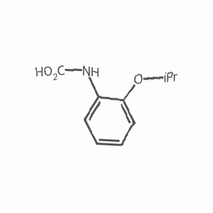 CC(C)Oc1ccccc1NC(=O)O